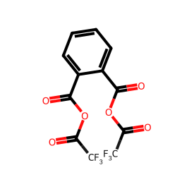 O=C(OC(=O)C(F)(F)F)c1ccccc1C(=O)OC(=O)C(F)(F)F